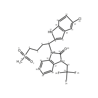 CS(=O)(=O)CCCC(c1cc2cc(Cl)ccc2[nH]1)n1c(=O)n(CC(F)(F)F)c2ccncc21